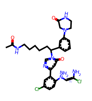 CC(=O)NCCCCCC(c1cccc(N2CCNC(=O)C2)c1)n1cnc(-c2cc(Cl)ccc2N(N)/C=C(\N)Cl)cc1=O